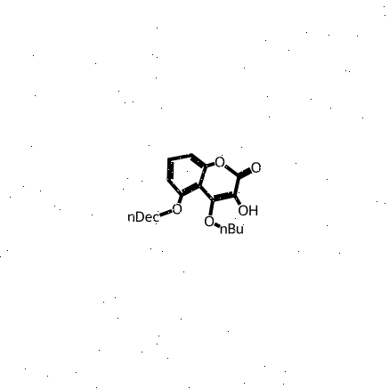 CCCCCCCCCCOc1cccc2oc(=O)c(O)c(OCCCC)c12